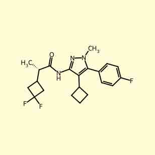 C[C@H](C(=O)Nc1nn(C)c(-c2ccc(F)cc2)c1C1CCC1)C1CC(F)(F)C1